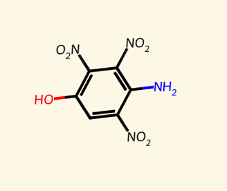 Nc1c([N+](=O)[O-])cc(O)c([N+](=O)[O-])c1[N+](=O)[O-]